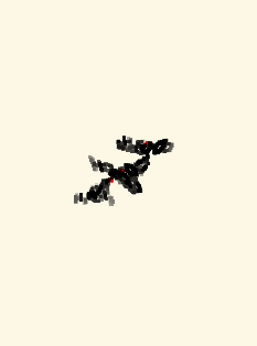 COC1(C)CCC(c2ccc(Cl)cc2)=C(CN2CCN(c3ccc(C(=O)O)c(N4CCCOc5nc6c(ccn6CCOCC[Si](C)(C)C)cc54)c3)CC2)C1